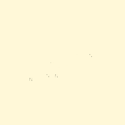 c1ccc(-n2c3ccccc3c3cc(-c4nnc(-c5cccc6c7ccccc7n(-c7ccccc7)c56)o4)ccc32)cc1